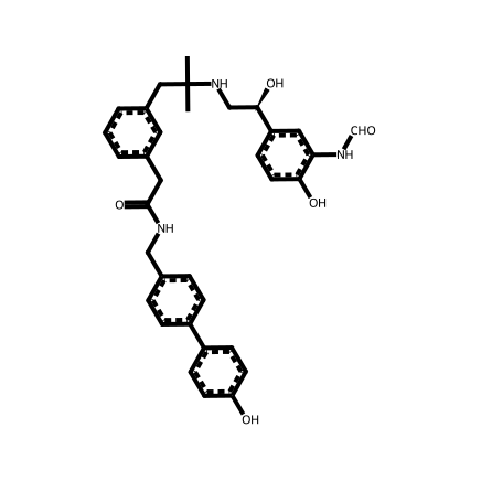 CC(C)(Cc1cccc(CC(=O)NCc2ccc(-c3ccc(O)cc3)cc2)c1)NC[C@@H](O)c1ccc(O)c(NC=O)c1